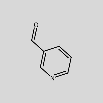 O=Cc1[c]ccnc1